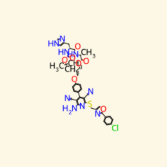 C[C@H](NC(=O)[C@H](Cc1c[nH]cn1)NC(=O)OC(C)(C)C)C(=O)OC[CH]COc1ccc(-c2c(C#N)c(N)nc(SCc3coc(-c4ccc(Cl)cc4)n3)c2C#N)cc1